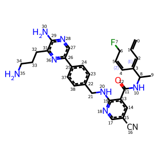 C=C/C=C(\C=C/CF)C(C)NC(=O)c1cc(C#N)cnc1NCc1ccc(-c2cnc(N)c(CCCN)n2)cc1